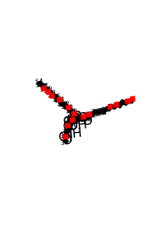 CCCCCCCCCCCCCCCCCC(=O)OCC(COP(=O)(O)OCCNC(=O)OC)OC(=O)CCCCCCCCCCCCCCCCC